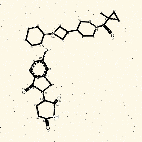 CC1(C(=O)N2CCC(C3CN([C@@H]4CCCC[C@H]4Oc4ccc5c(c4)CN(C4CCC(=O)NC4=O)C5=O)C3)CC2)CC1